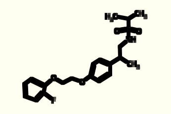 CC(CNS(=O)(=O)C(C)C)c1ccc(OCCOc2ccccc2F)cc1